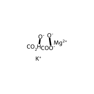 O=C([O-])O.O=C([O-])[O-].[K+].[Mg+2]